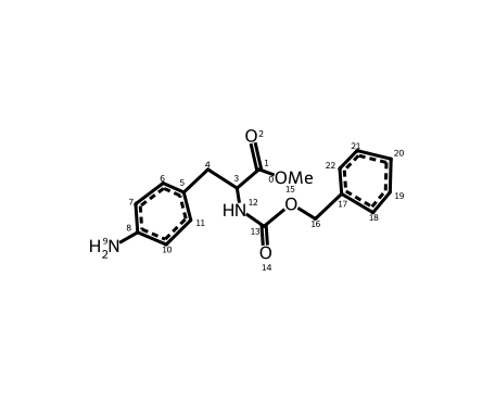 COC(=O)C(Cc1ccc(N)cc1)NC(=O)OCc1ccccc1